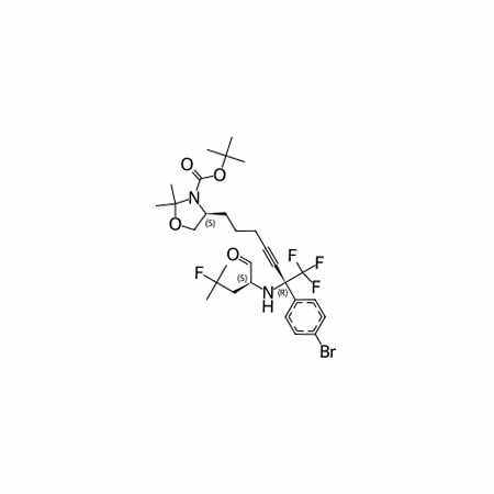 CC(C)(F)C[C@@H](C=O)N[C@@](C#CCCC[C@H]1COC(C)(C)N1C(=O)OC(C)(C)C)(c1ccc(Br)cc1)C(F)(F)F